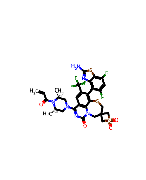 C=CC(=O)N1[C@H](C)CN(c2nc(=O)n3c4c(c(-c5c(F)cc(F)c6sc(N)nc56)c(C(F)(F)F)cc24)SCC2(C3)CS(=O)(=O)C2)C[C@@H]1C